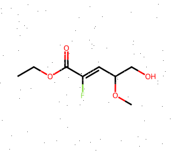 CCOC(=O)/C(F)=C/C(CO)OC